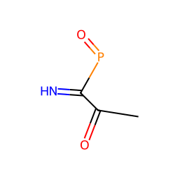 CC(=O)C(=N)P=O